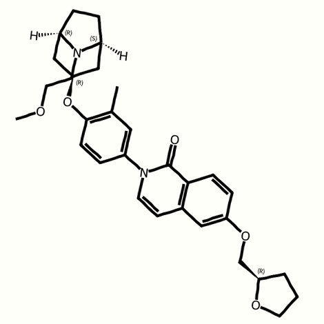 COCCN1[C@@H]2CC[C@H]1C[C@@H](Oc1ccc(-n3ccc4cc(OC[C@H]5CCCO5)ccc4c3=O)cc1C)C2